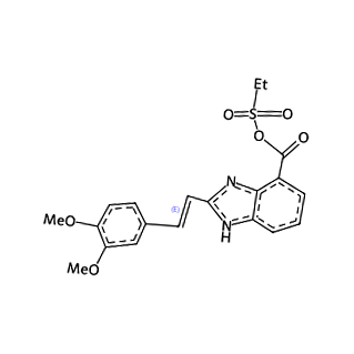 CCS(=O)(=O)OC(=O)c1cccc2[nH]c(/C=C/c3ccc(OC)c(OC)c3)nc12